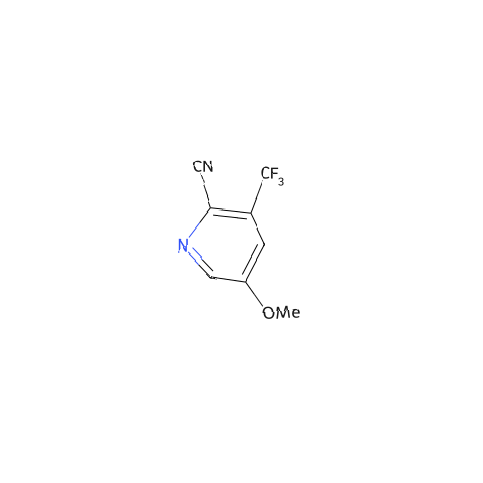 COc1cnc(C#N)c(C(F)(F)F)c1